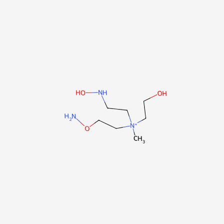 C[N+](CCO)(CCNO)CCON